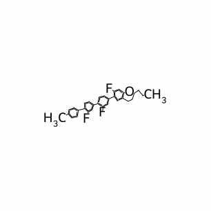 CCCC1CCc2cc(-c3ccc(-c4ccc(-c5ccc(C)cc5)c(F)c4)c(F)c3)c(F)cc2O1